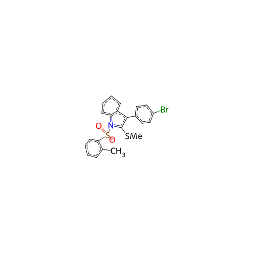 CSc1c(-c2ccc(Br)cc2)c2ccccc2n1S(=O)(=O)c1ccccc1C